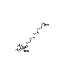 CCCCCCCCCCCC[CH]CCCCO[Si](C)(C)C(C)(C)C